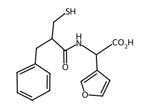 O=C(NC(C(=O)O)c1ccoc1)C(CS)Cc1ccccc1